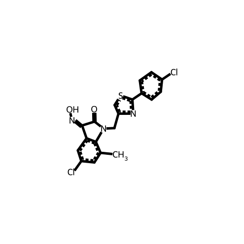 Cc1cc(Cl)cc2c1N(Cc1csc(-c3ccc(Cl)cc3)n1)C(=O)/C2=N\O